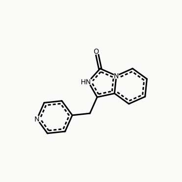 O=c1[nH]c(Cc2ccncc2)c2ccccn12